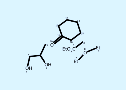 CC(O)CO.CCOC(C)=O.CCOCC.O=C1CCCCC1